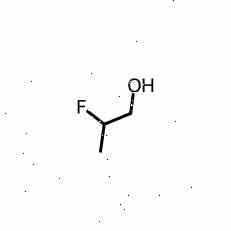 CC(F)CO